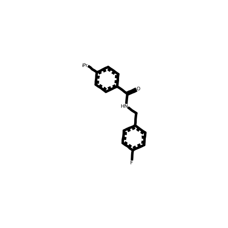 CC(C)c1ccc(C(=O)NCc2ccc(F)cc2)cc1